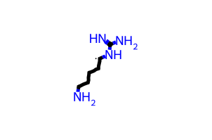 N=C(N)N[CH]CCCCN